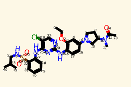 CCOc1cc(N2CCC(N(C)C(C)=O)C2)ccc1Nc1ncc(Cl)c(Nc2ccccc2S(=O)(=O)NCC(C)C)n1